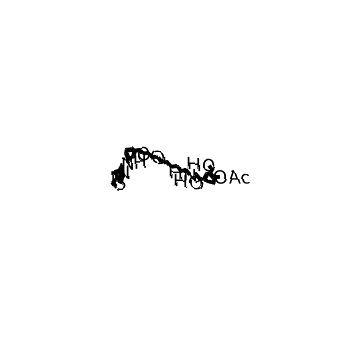 CC(=O)Oc1ccc([C@@H](O)CNCCCCCCOCCOCc2cccc(NCc3cn4c(n3)SCC4)c2)cc1CO